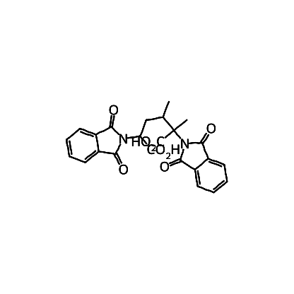 CC(CC(C(=O)O)N1C(=O)c2ccccc2C1=O)C(C)(C(=O)O)N1C(=O)c2ccccc2C1=O